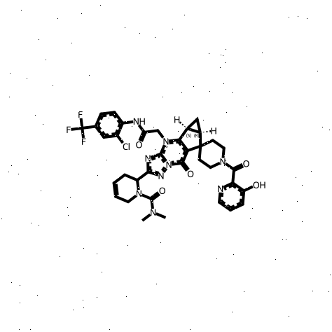 CN(C)C(=O)N1CC=CCC1c1nc2n(CC(=O)Nc3ccc(C(F)(F)F)cc3Cl)c3c(c(=O)n2n1)C1(CCN(C(=O)c2ncccc2O)CC1)[C@@H]1C[C@H]31